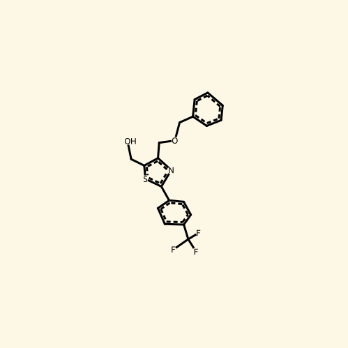 OCc1sc(-c2ccc(C(F)(F)F)cc2)nc1COCc1ccccc1